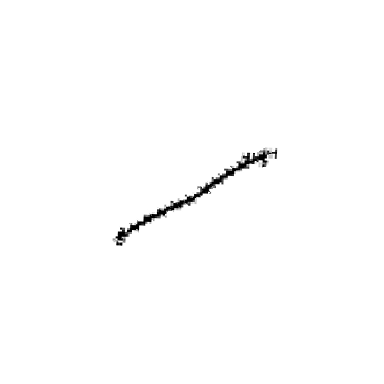 O=C=NCCCCCCCCCCCCCCCCCCCCCCCCCCCCCCCCCCCCCNC(=S)S